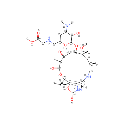 CC[C@H]1OC(=O)C(C)C(=O)[C@H](C)[C@@H](OC2OC(CNCC(=O)OC)CC(N(C)C)C2O)[C@](C)(OC)C[C@@H](C)CN[C@H](C)[C@H]2NC(=O)O[C@@]21CC